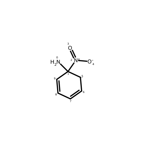 NC1([N+](=O)[O-])[CH]C=CC=C1